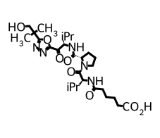 CC(C)[C@H](NC(=O)[C@@H]1CCCN1C(=O)[C@@H](NC(=O)CCCCC(=O)O)C(C)C)C(=O)c1nnc(C(C)(C)CO)o1